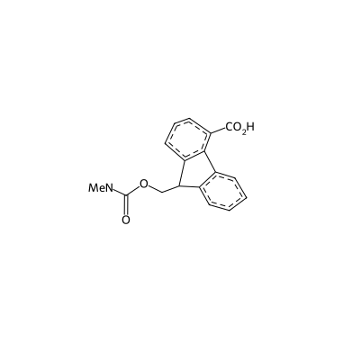 CNC(=O)OCC1c2ccccc2-c2c(C(=O)O)cccc21